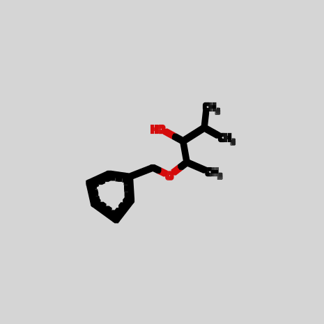 CC(C)C(O)C(C)OCc1ccccc1